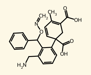 C=NOC(c1ccccc1)c1c(CN)cccc1C1(C(=O)O)C=CC(C)=C(C(=O)O)C1